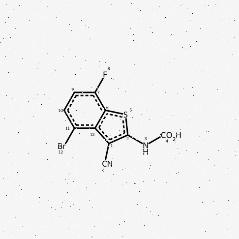 N#Cc1c(NC(=O)O)sc2c(F)ccc(Br)c12